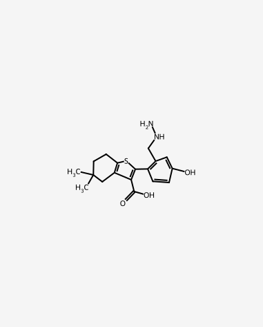 CC1(C)CCc2sc(-c3ccc(O)cc3CNN)c(C(=O)O)c2C1